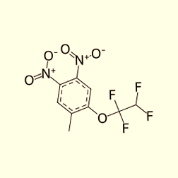 Cc1cc([N+](=O)[O-])c([N+](=O)[O-])cc1OC(F)(F)C(F)F